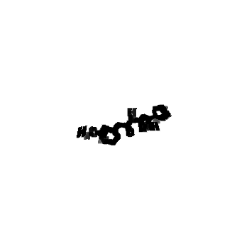 Cc1cc(CC(=O)Nc2cc([C@H]3C[CH]CC3)[nH]n2)ccn1